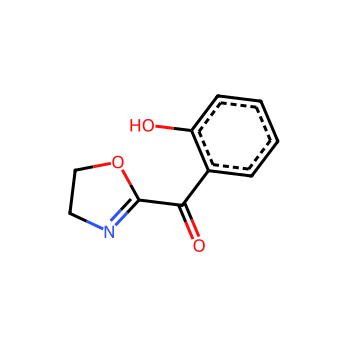 O=C(C1=NCCO1)c1ccccc1O